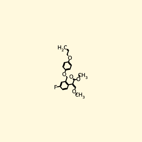 C=CCOc1ccc(OCc2cc(F)ccc2/C(=C\OC)C(=O)OC)cc1